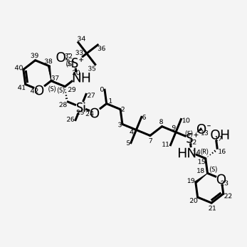 CC(CCC(C)(C)CCC(C)(C)[S@@+]([O-])N[C@H](CO)[C@@H]1CCC=CO1)O[Si](C)(C)C[C@@H](N[S@+]([O-])C(C)(C)C)[C@@H]1CCC=CO1